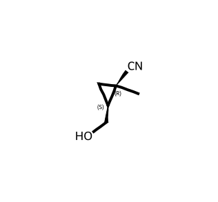 C[C@@]1(C#N)C[C@@H]1CO